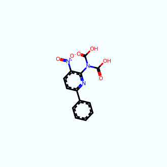 O=C(O)N(C(=O)O)c1nc(-c2ccccc2)ccc1[N+](=O)[O-]